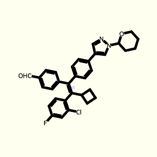 O=Cc1ccc(/C(=C(\c2ccc(F)cc2Cl)C2CCC2)c2ccc(-c3cnn(C4CCCCO4)c3)cc2)cc1